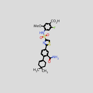 COc1cc(C(=O)O)c(F)cc1NS(=O)(=O)c1csc(-c2ccc(C3=CCC(C)(C)CC3)c(C(N)=O)c2)n1